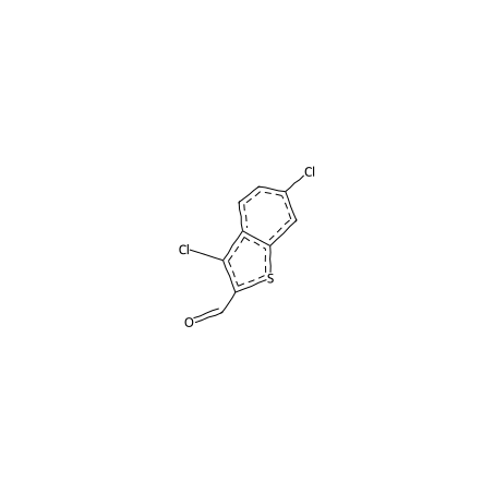 O=Cc1sc2cc(Cl)ccc2c1Cl